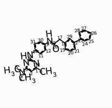 Cc1cc(N(C)C)nc(Nc2ccc(NC(=O)Cc3cccc(-c4ccccc4)c3)cc2)n1